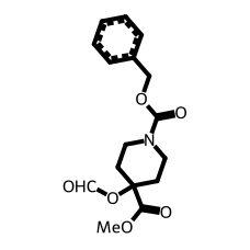 COC(=O)C1(OC=O)CCN(C(=O)OCc2ccccc2)CC1